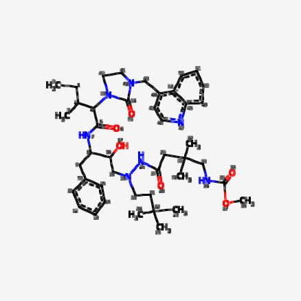 CCC(C)C(C(=O)NC(Cc1ccccc1)C(O)CN(CCC(C)(C)C)NC(=O)CC(C)(C)CNC(=O)OC)N1CCN(Cc2ccnc3ccccc23)C1=O